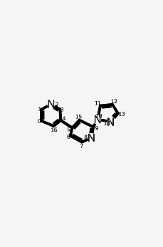 c1cncc(-c2ccnc(-n3cccn3)c2)c1